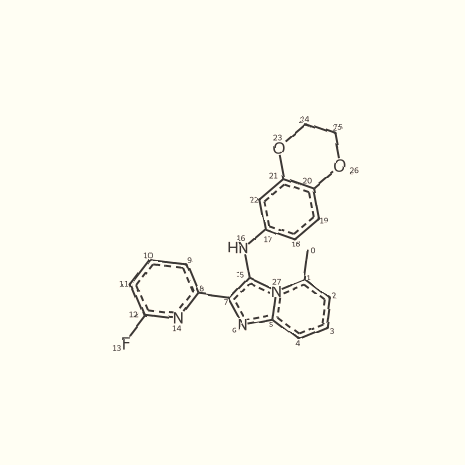 Cc1cccc2nc(-c3cccc(F)n3)c(Nc3ccc4c(c3)OCCO4)n12